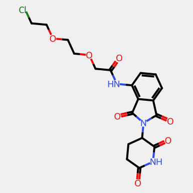 O=C1CCC(N2C(=O)c3cccc(NC(=O)COCCOCCCl)c3C2=O)C(=O)N1